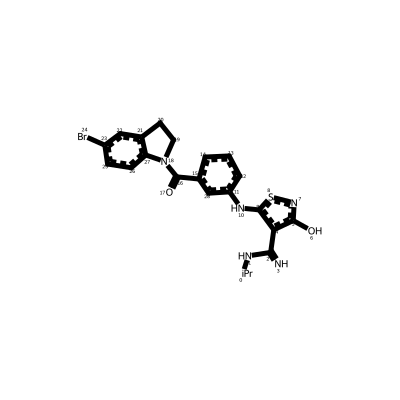 CC(C)NC(=N)c1c(O)nsc1Nc1cccc(C(=O)N2CCc3cc(Br)ccc32)c1